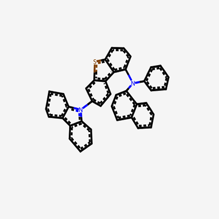 c1ccc(N(c2cccc3ccccc23)c2cccc3sc4cc(-n5c6ccccc6c6ccccc65)ccc4c23)cc1